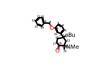 CCCCC1(c2cccc(OCc3ccccc3)c2)CCC(=O)C(C)(NC)C1